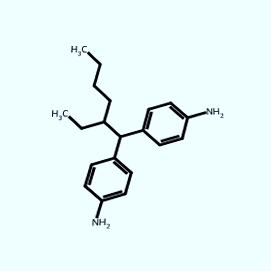 CCCCC(CC)C(c1ccc(N)cc1)c1ccc(N)cc1